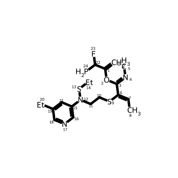 C=C(OC(=N\C)/C(=C/C)SCCN(SCC)c1cncc(CC)c1)C(F)P